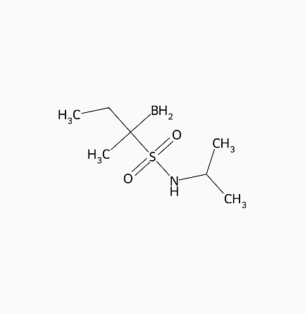 BC(C)(CC)S(=O)(=O)NC(C)C